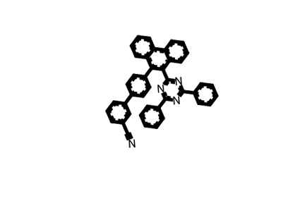 N#Cc1cccc(-c2ccc(-c3c(-c4nc(-c5ccccc5)nc(-c5ccccc5)n4)c4ccccc4c4ccccc34)cc2)c1